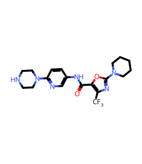 O=C(Nc1ccc(N2CCNCC2)nc1)c1oc(N2CCCCC2)nc1C(F)(F)F